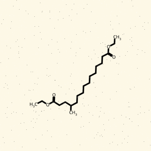 CCOC(=O)CCCCCCCCCCC(C)CCC(=O)OCC